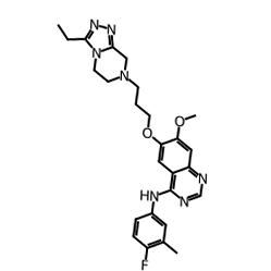 CCc1nnc2n1CCN(CCCOc1cc3c(Nc4ccc(F)c(C)c4)ncnc3cc1OC)C2